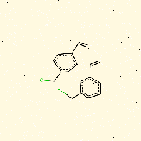 C=Cc1ccc(CCl)cc1.C=Cc1cccc(CCl)c1